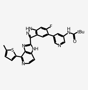 Cc1ccc(-c2nccc3[nH]c(-c4n[nH]c5cc(F)c(-c6cncc(NC(=O)C(C)(C)C)c6)cc45)nc23)s1